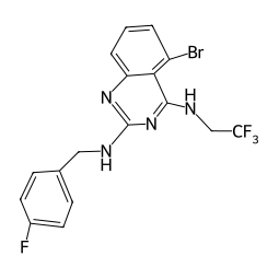 Fc1ccc(CNc2nc(NCC(F)(F)F)c3c(Br)cccc3n2)cc1